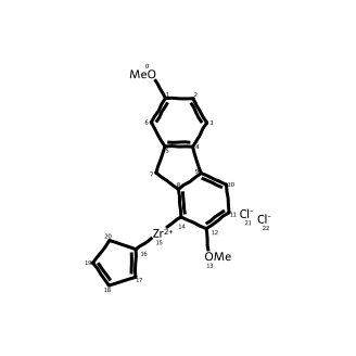 COc1ccc2c(c1)Cc1c-2ccc(OC)[c]1[Zr+2][C]1=CC=CC1.[Cl-].[Cl-]